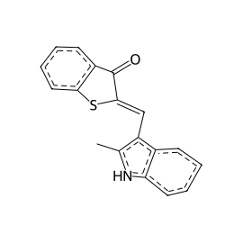 Cc1[nH]c2ccccc2c1/C=C1\Sc2ccccc2C1=O